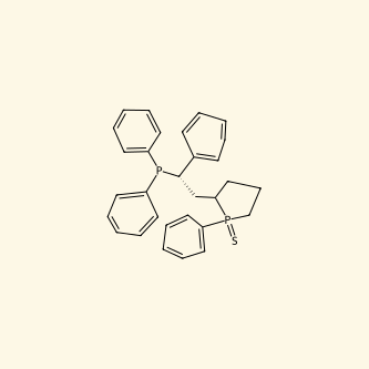 S=P1(c2ccccc2)CCCC1C[C@@H](c1ccccc1)P(c1ccccc1)c1ccccc1